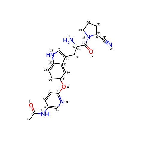 CC(=O)Nc1ccc(OC2C=c3c(C[C@H](N)C(=O)N4CCC[C@H]4C#N)c[nH]c3=CC2)nc1